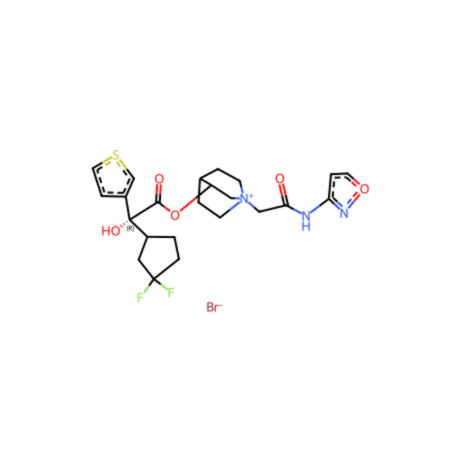 O=C(C[N+]12CCC(CC1)C(OC(=O)[C@](O)(c1ccsc1)C1CCC(F)(F)C1)C2)Nc1ccon1.[Br-]